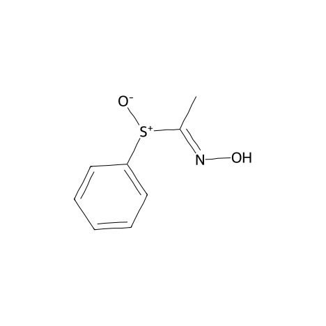 CC(=NO)[S+]([O-])c1ccccc1